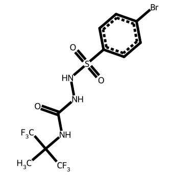 CC(NC(=O)NNS(=O)(=O)c1ccc(Br)cc1)(C(F)(F)F)C(F)(F)F